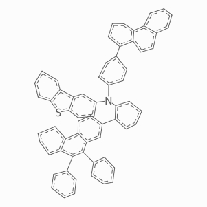 c1ccc(-c2c(-c3ccccc3)c3cc(-c4ccccc4N(c4ccc(-c5cccc6c5ccc5ccccc56)cc4)c4ccc5sc6ccccc6c5c4)ccc3c3ccccc23)cc1